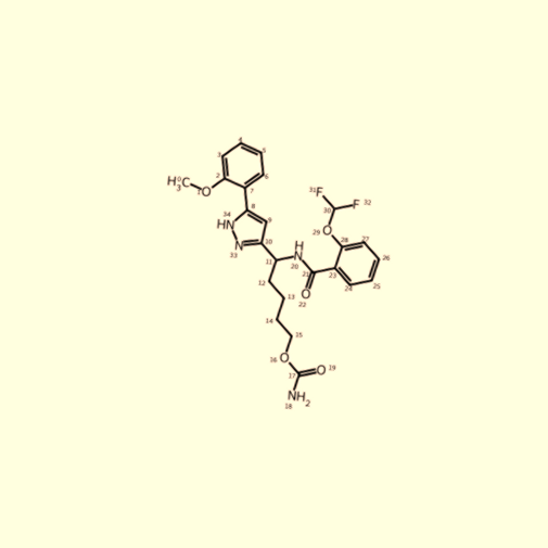 COc1ccccc1-c1cc(C(CCCCOC(N)=O)NC(=O)c2ccccc2OC(F)F)n[nH]1